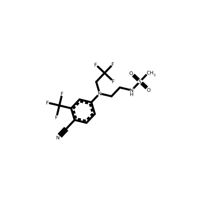 CS(=O)(=O)NCCN(CC(F)(F)F)c1ccc(C#N)c(C(F)(F)F)c1